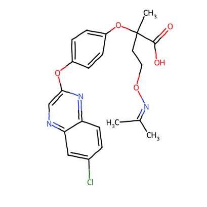 CC(C)=NOCCC(C)(Oc1ccc(Oc2cnc3cc(Cl)ccc3n2)cc1)C(=O)O